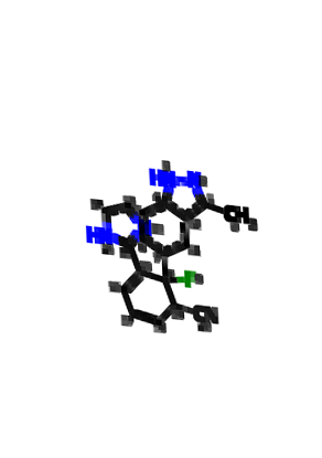 Cc1n[nH]c2ccc(C3(F)C(c4ncc[nH]4)=CC=CC3C#N)cc12